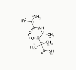 CC(NC(=O)C(N)C(C)C)C(=O)C(C)(C)SS